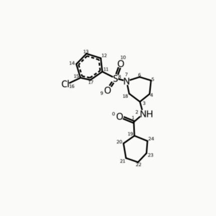 O=C(NC1CCCN(S(=O)(=O)c2cccc(Cl)c2)C1)C1CCCCC1